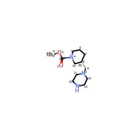 CC(C)(C)OC(=O)N1CCC[C@H](CN2CCNCC2)C1